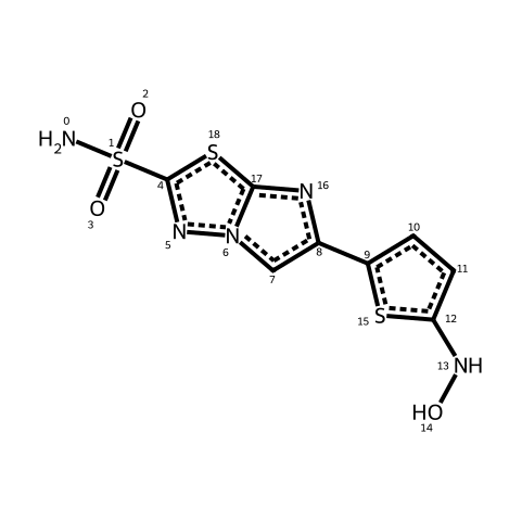 NS(=O)(=O)c1nn2cc(-c3ccc(NO)s3)nc2s1